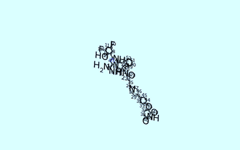 NC(N)=C(/C=C(\N)c1cc(F)cc(F)c1O)N1CCC(CNC(=O)CCCN2CCC(c3ccc(OC4CCC(=O)NC4=O)cc3)CC2)(c2ccccc2)CC1